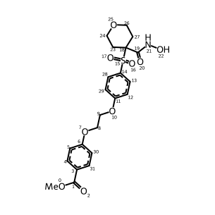 COC(=O)c1ccc(OCCOc2ccc(S(=O)(=O)C3(C(=O)NO)CCOCC3)cc2)cc1